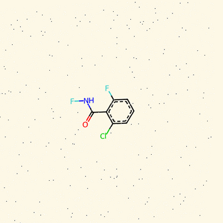 O=C(NF)c1c(F)cccc1Cl